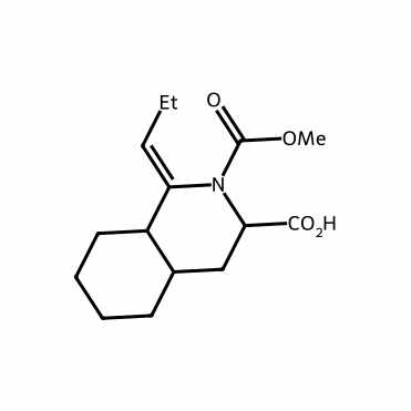 CCC=C1C2CCCCC2CC(C(=O)O)N1C(=O)OC